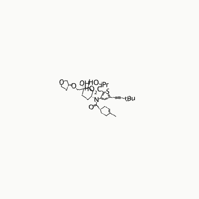 CC(C)O.CC1=CC[C@H](C(=O)N(c2cc(C#CC(C)(C)C)sc2C(=O)O)[C@H]2CC[C@](O)(CO[C@H]3CCOC3)CC2)CC1